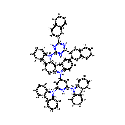 c1ccc2cc(-c3nc(-c4ccc5ccccc5c4)nc(-n4c5ccccc5c5ccc6c(c7ccccc7n6-c6cc(-n7c8ccccc8c8ccccc87)nc(-n7c8ccccc8c8ccccc87)c6)c54)n3)ccc2c1